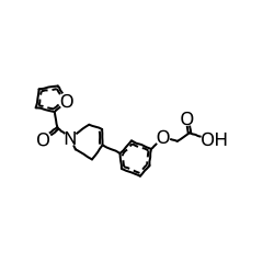 O=C(O)COc1cccc(C2=CCN(C(=O)c3ccco3)CC2)c1